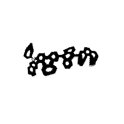 c1ccc(-n2c3cc4ccccc4cc3c3c4c5ccccc5c5cc(-c6c7ccccc7c(-c7ccc8c(ccc9ccccc98)c7)c7ccccc67)ccc5c4ccc32)cc1